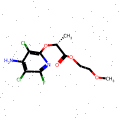 COCCOC(=O)[C@@H](C)Oc1nc(F)c(Cl)c(N)c1Cl